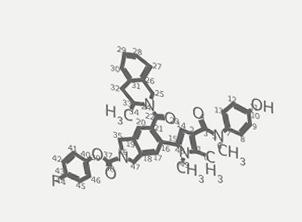 Cc1c(C(=O)N(C)c2ccc(O)cc2)cc(-c2cc3c(cc2C(=O)N2Cc4ccccc4CC2C)CN(C(=O)Oc2ccc(F)cc2)C3)n1C